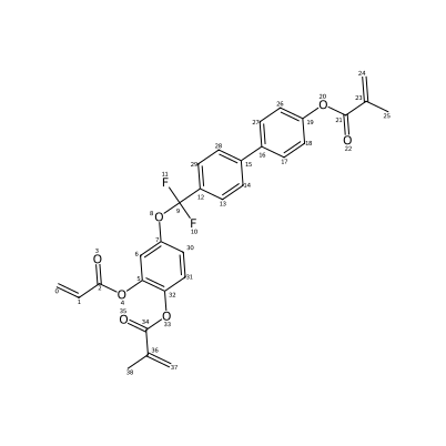 C=CC(=O)Oc1cc(OC(F)(F)c2ccc(-c3ccc(OC(=O)C(=C)C)cc3)cc2)ccc1OC(=O)C(=C)C